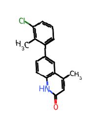 Cc1c(Cl)cccc1-c1ccc2[nH]c(=O)cc(C)c2c1